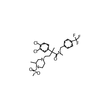 CC1CN(CCC(C)(C(=O)N(C)Cc2ccc(C(F)(F)F)cc2)c2ccc(Cl)c(Cl)c2)CCN1S(C)(=O)=O